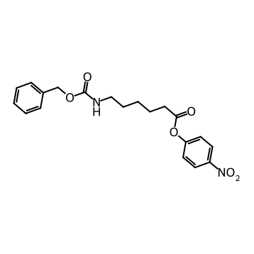 O=C(CCCCCNC(=O)OCc1ccccc1)Oc1ccc([N+](=O)[O-])cc1